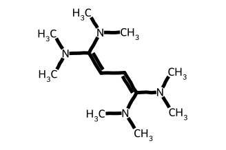 CN(C)C(=CC=C(N(C)C)N(C)C)N(C)C